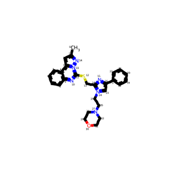 Cc1cc2c3ccccc3nc(SCc3nc(-c4ccccc4)cn3CCN3CCOCC3)n2n1